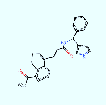 O=C(CCC1=CCCc2c(C(=O)C(=O)O)cccc21)NC(c1ccccc1)c1cc[nH]c1